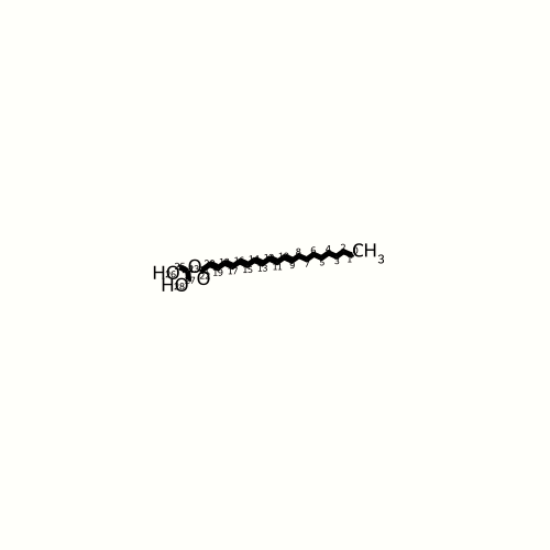 CCCCCCCCC/C=C/C=C/C=C/C=C/C=C/C=C/C(=O)OC(CO)CO